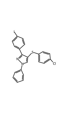 Clc1ccc(Sc2cn(-c3ccccc3)nc2-c2ccc(I)cc2)cc1